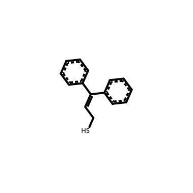 SCC=C(c1ccccc1)c1ccccc1